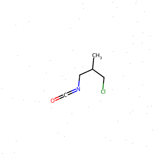 CC(CCl)CN=C=O